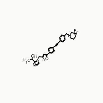 CC(O)c1nccn1Cc1cc(-c2ccc(C#Cc3ccc(CN4CCCC(F)(F)C4)cc3)cc2)on1